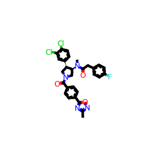 Cc1noc(-c2ccc(C(=O)N3C[C@H](c4ccc(Cl)c(Cl)c4)[C@@H](N(C)C(=O)Cc4ccc(F)cc4)C3)cc2)n1